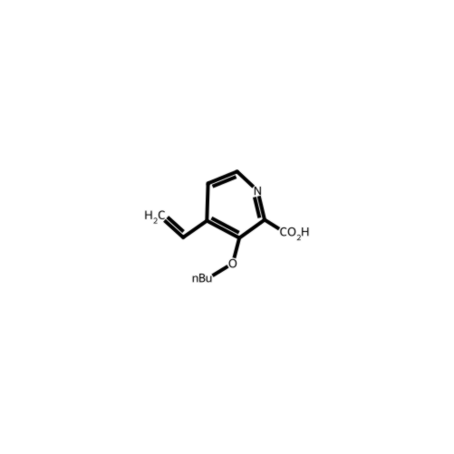 C=Cc1ccnc(C(=O)O)c1OCCCC